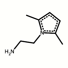 Cc1ccc(C)n1CCN